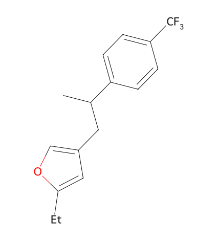 CCc1cc(CC(C)c2ccc(C(F)(F)F)cc2)co1